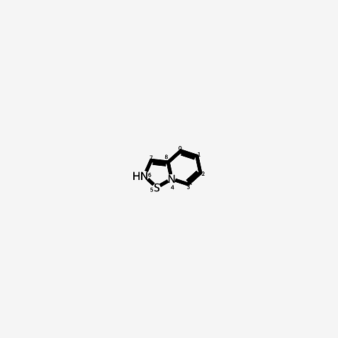 [C]1=CC=[C]N2SNC=C12